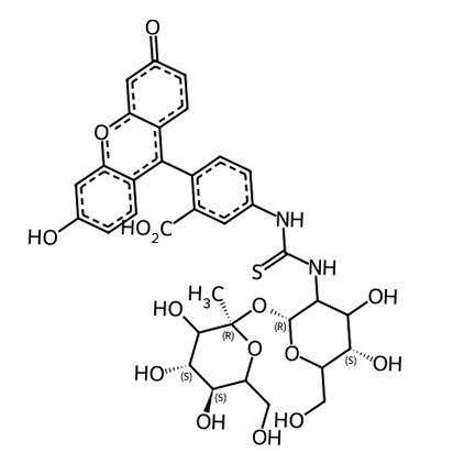 C[C@]1(O[C@H]2OC(CO)[C@@H](O)C(O)C2NC(=S)Nc2ccc(-c3c4ccc(=O)cc-4oc4cc(O)ccc34)c(C(=O)O)c2)OC(CO)[C@@H](O)[C@H](O)C1O